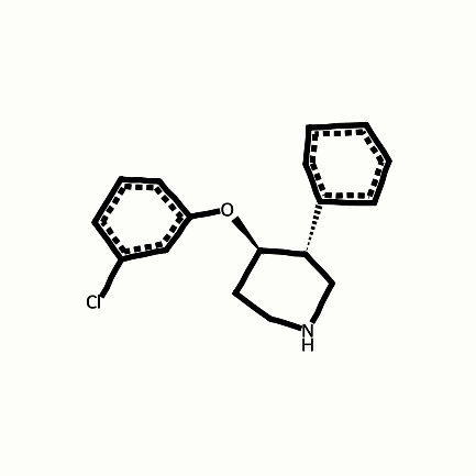 Clc1cccc(O[C@@H]2CCNC[C@H]2c2ccccc2)c1